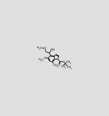 COCC(O)c1c(OC)cc(C)c2c1ccn2C(=O)OC(C)(C)C